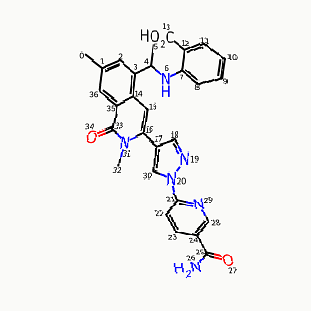 Cc1cc(C(C)Nc2ccccc2C(=O)O)c2cc(-c3cnn(-c4ccc(C(N)=O)cn4)c3)n(C)c(=O)c2c1